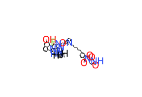 C#Cc1cccc2cc(O)cc(-c3ncc4c(N5C[C@H]6CC[C@@H](C5)N6)nc(OC[C@@H]5CCCN5CCCCCCc5ccc6c(c5)C(=O)N(C5CCC(=O)NC5=O)C6=O)nc4c3F)c12